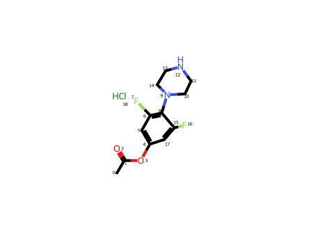 CC(=O)Oc1cc(F)c(N2CCNCC2)c(F)c1.Cl